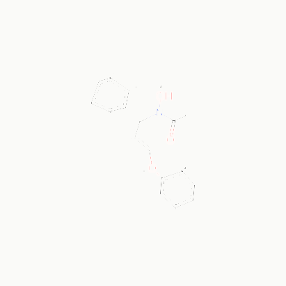 CC(=O)N(O)C(C=COc1ccccc1)c1ccccc1